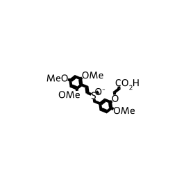 COc1cc(OC)c(C=C[S+]([O-])Cc2ccc(OC)c(OCCC(=O)O)c2)c(OC)c1